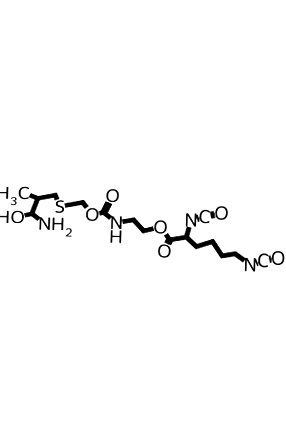 CC(CSCOC(=O)NCCOC(=O)C(CCCCN=C=O)N=C=O)C(N)O